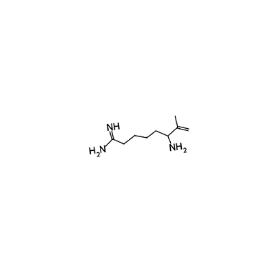 C=C(C)C(N)CCCCC(=N)N